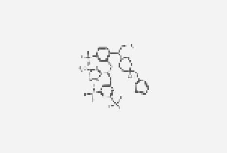 CCC(c1ccc(C(F)(F)F)cc1CN(Cc1cc(C(F)(F)F)cc(C(F)(F)F)c1)c1nnn(C)n1)N1CCC(O)(Cc2ccccc2)CC1